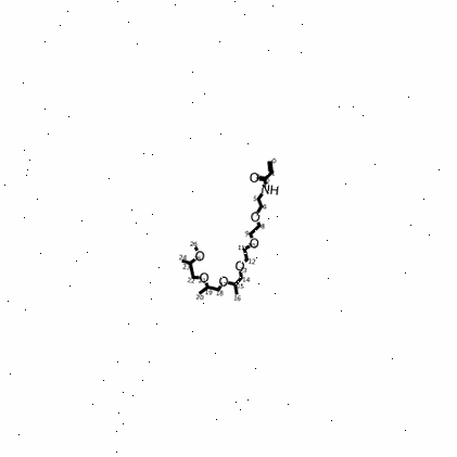 C=CC(=O)NCCOCCOCCOCC(C)OCC(C)OCC(C)OC